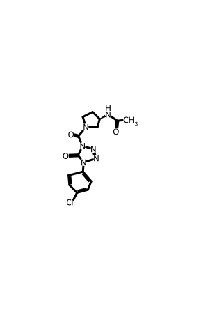 CC(=O)N[C@@H]1CCN(C(=O)n2nnn(-c3ccc(Cl)cc3)c2=O)C1